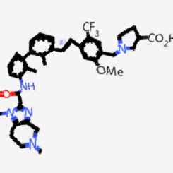 COc1cc(/C=C/c2cccc(-c3cccc(NC(=O)c4nc5c(n4C)CCN(C)C5)c3C)c2C)c(C(F)(F)F)cc1CN1CCC(C(=O)O)C1